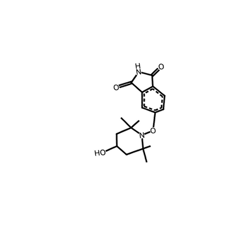 CC1(C)CC(O)CC(C)(C)N1Oc1ccc2c(c1)C(=O)NC2=O